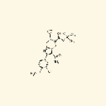 CCc1ccc(-c2nn3c(c2C(N)=O)CN(C(=O)OC(C)(C)C)C(C2CC2)C3)cc1Cl